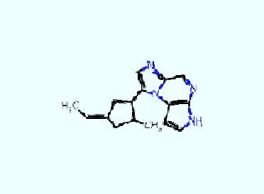 C/C=C1/CC(C)C(c2cnc3cnc4[nH]ccc4n23)C1